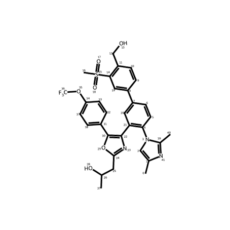 Cc1cn(-c2ccc(-c3ccc(CO)c(S(C)(=O)=O)c3)cc2-c2nc(CC(C)O)oc2-c2ccc(OC(F)(F)F)cc2)c(C)n1